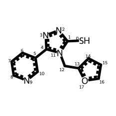 Sc1nnc(-c2cccnc2)n1Cc1ccco1